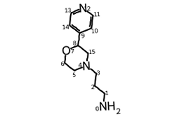 NCCCN1CCOC(c2ccncc2)C1